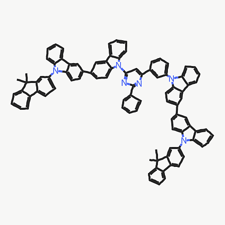 CC1(C)c2ccccc2-c2ccc(-n3c4ccccc4c4cc(-c5ccc6c(c5)c5ccccc5n6-c5cccc(-c6cc(-n7c8ccccc8c8cc(-c9ccc%10c(c9)c9ccccc9n%10-c9ccc%10c(c9)C(C)(C)c9ccccc9-%10)ccc87)nc(-c7ccccc7)n6)c5)ccc43)cc21